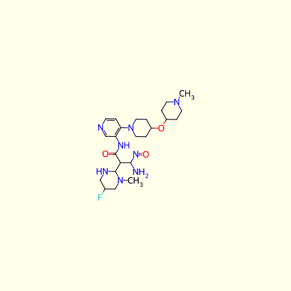 CN1CCC(OC2CCN(c3ccncc3NC(=O)C(C(N)N=O)C3NCC(F)CN3C)CC2)CC1